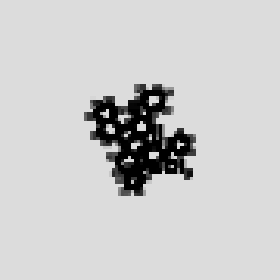 CC1(c2ccccc2)N=C(C2=C=C=CC=C2)N=C(c2cc3c4ccccc4oc3c3c4c5ccccc5ccc4n(-c4ccccc4)c23)N1